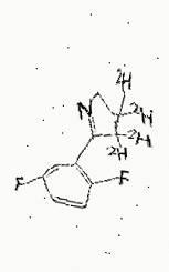 [2H]C1([2H])CN=C(c2cc(F)ccc2F)C1([2H])[2H]